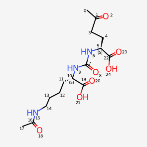 CC(=O)CC[C@H](NC(=O)N[C@@H](CCCCNC(C)=O)C(=O)O)C(=O)O